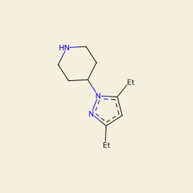 CCc1cc(CC)n(C2CCNCC2)n1